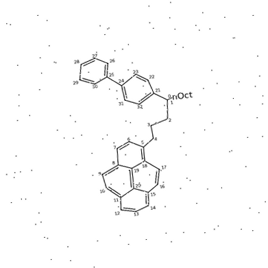 CCCCCCCCC(CCCc1ccc2ccc3cccc4ccc1c2c34)c1ccc(-c2ccccc2)cc1